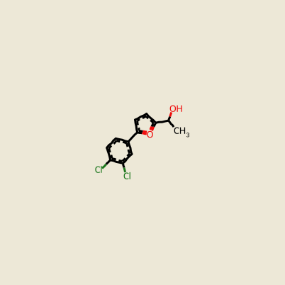 CC(O)c1ccc(-c2ccc(Cl)c(Cl)c2)o1